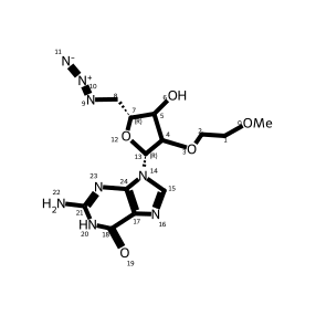 COCCOC1C(O)[C@@H](CN=[N+]=[N-])O[C@H]1n1cnc2c(=O)[nH]c(N)nc21